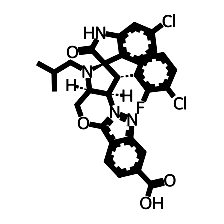 CC(C)CN1[C@@H]2COc3c4ccc(C(=O)O)cc4nn3[C@@H]2[C@@H](c2cccc(Cl)c2F)[C@@]12C(=O)Nc1cc(Cl)ccc12